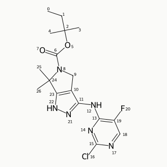 CCC(C)(C)OC(=O)N1Cc2c(Nc3nc(Cl)ncc3F)n[nH]c2C1(C)C